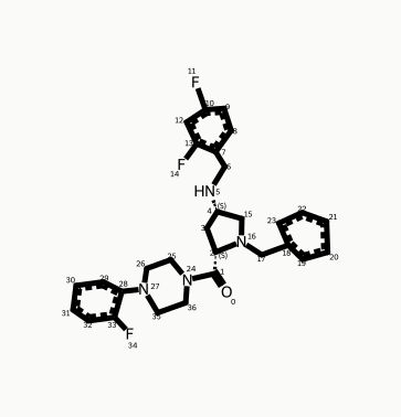 O=C([C@@H]1C[C@H](NCc2ccc(F)cc2F)CN1Cc1ccccc1)N1CCN(c2ccccc2F)CC1